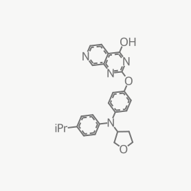 CC(C)c1ccc(N(c2ccc(Oc3nc(O)c4ccncc4n3)cc2)C2CCOC2)cc1